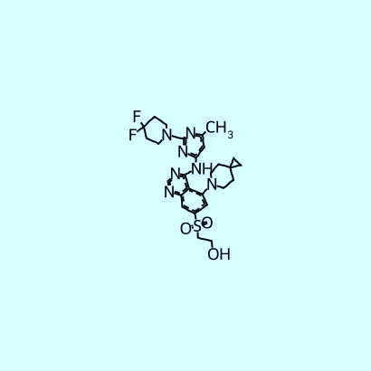 Cc1cc(Nc2ncnc3cc(S(=O)(=O)CCO)cc(N4CCC5(CC4)CC5)c23)nc(N2CCC(F)(F)CC2)n1